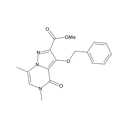 COC(=O)c1nn2c(C)cn(C)c(=O)c2c1OCc1ccccc1